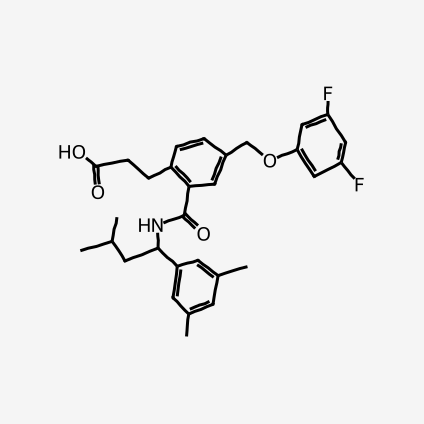 Cc1cc(C)cc(C(CC(C)C)NC(=O)c2cc(COc3cc(F)cc(F)c3)ccc2CCC(=O)O)c1